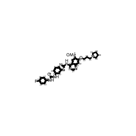 COc1cc2c(Nc3nc4ccc(NC(=O)Nc5ccc(F)cc5)cc4s3)ncnc2cc1OCCCN1CCCC1